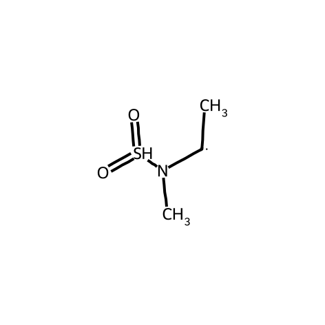 C[CH]N(C)[SH](=O)=O